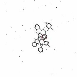 Cc1ccc(C)c(CC(c2ccccc2)C(C)C2c3c(n4c5cc6ccccc6c(N(c6ccccc6)c6cc(C)ccc6C)c5c5cccc3c54)CC3C=CC=CC32)c1